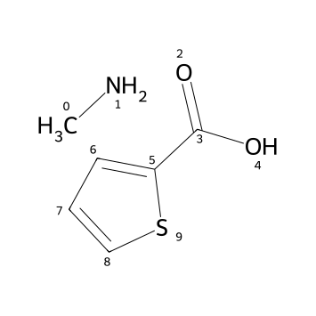 CN.O=C(O)c1cccs1